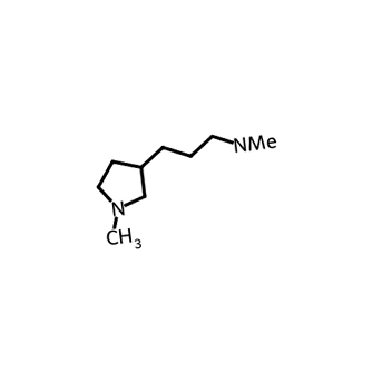 CNCCCC1CCN(C)C1